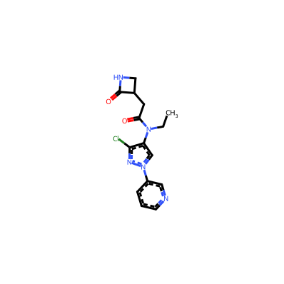 CCN(C(=O)CC1CNC1=O)c1cn(-c2cccnc2)nc1Cl